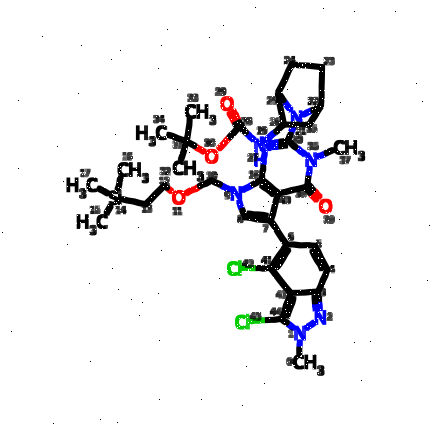 Cn1nc2ccc(-c3cn(COCC[Si](C)(C)C)c4nc(N5C6CCC5C(NC(=O)OC(C)(C)C)C6)n(C)c(=O)c34)c(Cl)c2c1Cl